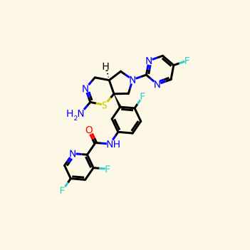 NC1=NC[C@H]2CN(c3ncc(F)cn3)C[C@]2(c2cc(NC(=O)c3ncc(F)cc3F)ccc2F)S1